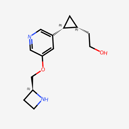 OCC[C@H]1C[C@H]1c1cncc(OC[C@@H]2CCN2)c1